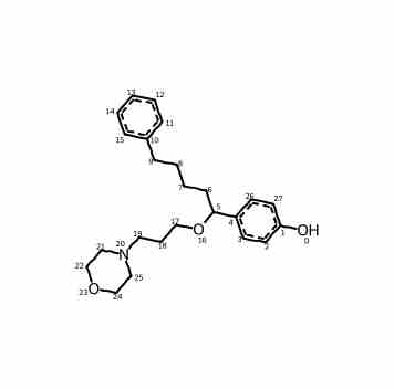 Oc1ccc(C(CCCCc2ccccc2)OCCCN2CCOCC2)cc1